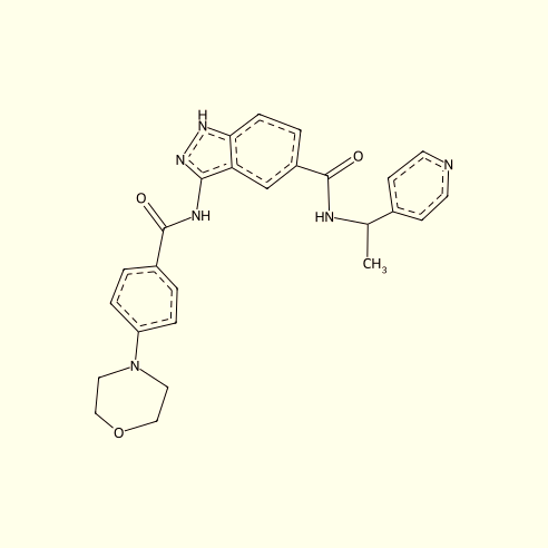 CC(NC(=O)c1ccc2[nH]nc(NC(=O)c3ccc(N4CCOCC4)cc3)c2c1)c1ccncc1